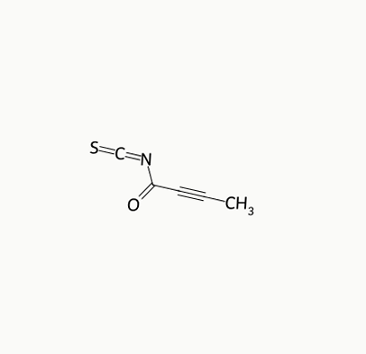 CC#CC(=O)N=C=S